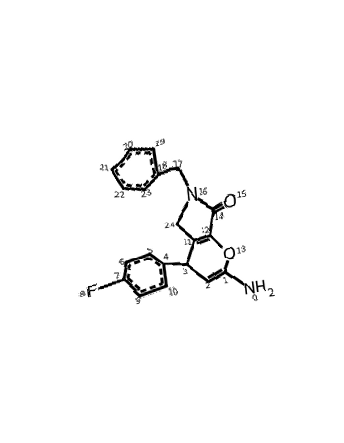 NC1=CC(c2ccc(F)cc2)C2=C(O1)C(=O)N(Cc1ccccc1)C2